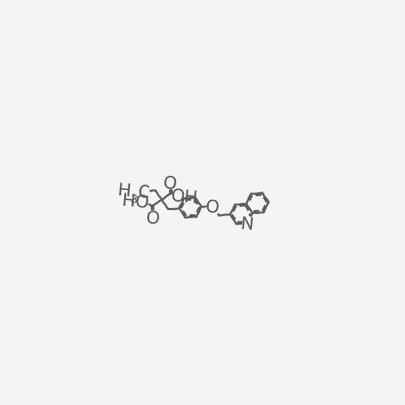 CCC(Cc1ccc(OCc2cnc3ccccc3c2)cc1)(C(=O)O)C(=O)O